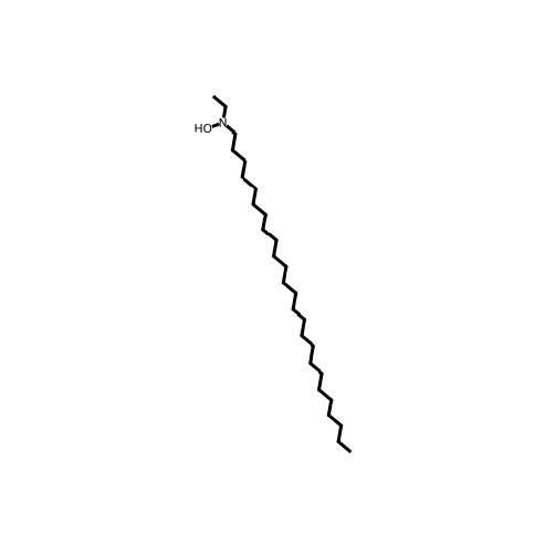 CCCCCCCCCCCCCCCCCCCCCCCCCN(O)CC